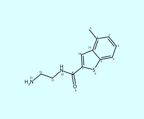 Cc1cccc2sc(C(=O)NCCN)cc12